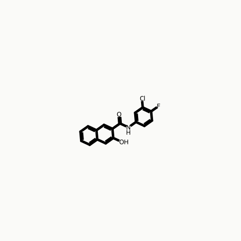 O=C(Nc1ccc(F)c(Cl)c1)c1cc2ccccc2cc1O